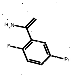 C=C(N)c1cc(C(C)C)ccc1F